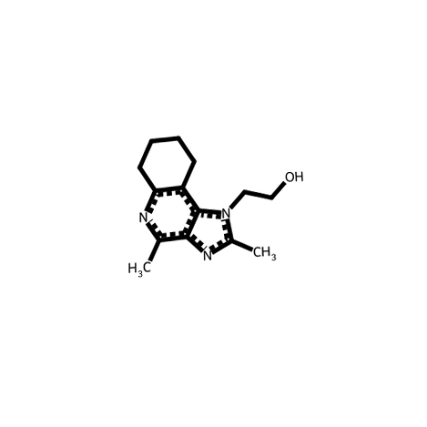 Cc1nc2c(c3c1nc(C)n3CCO)CCCC2